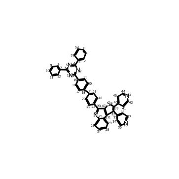 c1ccc(-c2nc(-c3ccccc3)nc(-c3ccc(-c4ccc(-c5nc6ccccc6c6c(-c7ccncc7)c(-c7ccncc7)sc56)cc4)cc3)n2)cc1